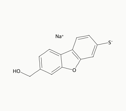 OCc1ccc2c(c1)oc1cc([S-])ccc12.[Na+]